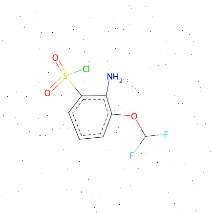 Nc1c(OC(F)F)cccc1S(=O)(=O)Cl